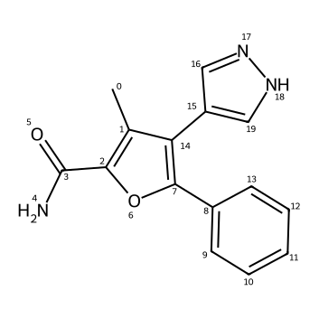 Cc1c(C(N)=O)oc(-c2ccccc2)c1-c1cn[nH]c1